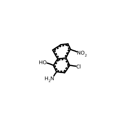 Nc1cc(Cl)c2c([N+](=O)[O-])cccc2c1O